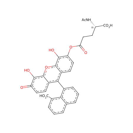 CC(=O)N[C@@H](CCC(=O)Oc1ccc2c(-c3cccc4cccc(C(=O)O)c34)c3ccc(=O)c(O)c-3oc2c1O)C(=O)O